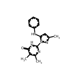 Cc1cc(Nc2ccccc2)n(-c2nc(C)c(C)c(=O)[nH]2)n1